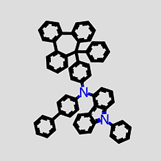 c1ccc(-c2ccc(N(c3ccc(C4(c5ccccc5)c5ccccc5-c5ccccc5-c5ccccc54)cc3)c3cccc4c3c3ccccc3n4-c3ccccc3)cc2)cc1